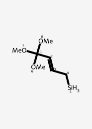 COC(C=CC[SiH3])(OC)OC